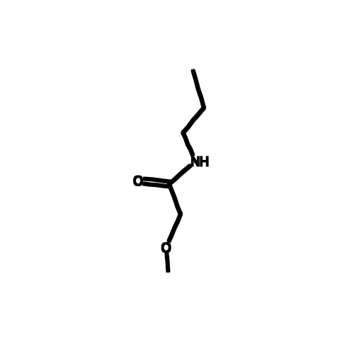 CCCNC(=O)COC